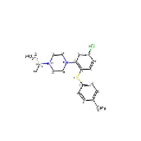 COc1ccc(Sc2ccc(Cl)cc2N2CCN([C@H](C)C(=O)O)CC2)cc1